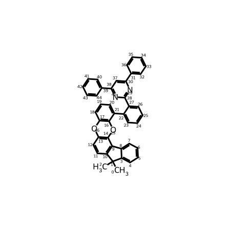 CC1(C)c2ccccc2-c2c1ccc1c2Oc2c(cccc2-c2ccccc2-c2nc(-c3ccccc3)cc(-c3ccccc3)n2)O1